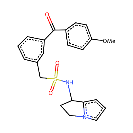 COc1ccc(C(=O)c2cccc(CS(=O)(=O)NC3CCn4cccc43)c2)cc1